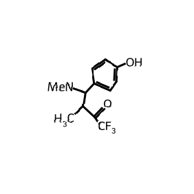 CNC(c1ccc(O)cc1)C(C)C(=O)C(F)(F)F